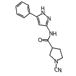 N#CN1CCC(C(=O)Nc2cc(-c3ccccc3)[nH]n2)C1